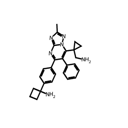 Cc1nc2nc(-c3ccc(C4(N)CCC4)cc3)c(-c3ccccc3)c(C3(CN)CC3)n2n1